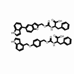 O=C(NC(Cc1ccccc1)C(=O)O)OCc1cc2cc(-c3cccc4[nH]ccc34)ccc2o1.O=C(NC(Cc1ccccc1)C(=O)O)OCc1ccc(OCc2cccc3[nH]ccc23)cc1